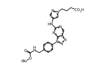 CC(C)(C)OC(=O)NCc1ccc(-n2nnc3cnc(Nc4cnn(CCCC(=O)O)c4)nc32)cc1